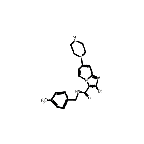 CCc1nc2cc(N3CCNCC3)ccn2c1C(=O)NCc1ccc(C(F)(F)F)cc1